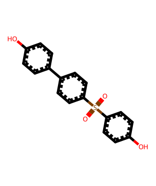 O=S(=O)(c1ccc(O)cc1)c1ccc(-c2ccc(O)cc2)cc1